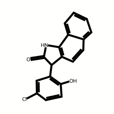 O=C1Nc2c(ccc3ccccc23)C1c1cc(Cl)ccc1O